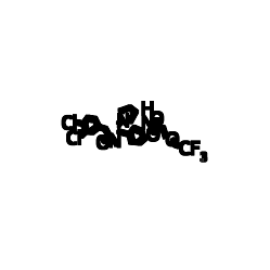 CN(C(=O)Cc1ccc(Cl)c(Cl)c1)[C@H](CN1CCCC1)c1cccc(NS(=O)(=O)CCOCC(F)(F)F)c1